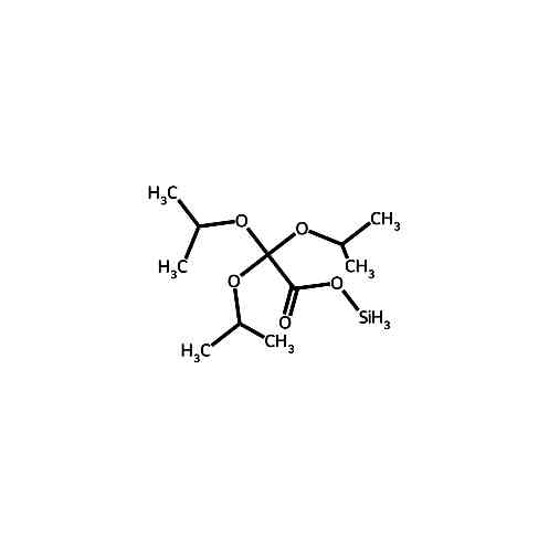 CC(C)OC(OC(C)C)(OC(C)C)C(=O)O[SiH3]